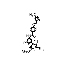 COC[C@]12CC1[C@@](C)(c1cc(NC(=O)c3cnc(OCc4nc(C)no4)cn3)cc(F)c1F)N=C(N)S2